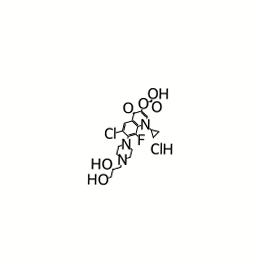 Cl.O=C(O)Oc1cn(C2CC2)c2c(F)c(N3CCN(CC(O)CO)CC3)c(Cl)cc2c1=O